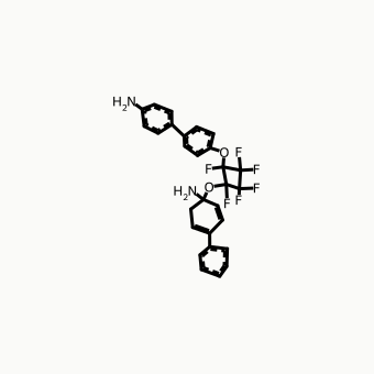 Nc1ccc(-c2ccc(OC3(F)C(F)(F)C(F)(F)C3(F)OC3(N)C=CC(c4ccccc4)=CC3)cc2)cc1